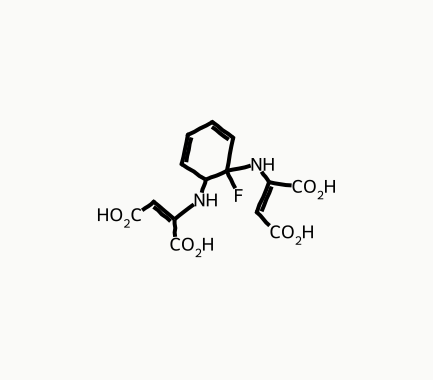 O=C(O)C=C(NC1C=CC=CC1(F)NC(=CC(=O)O)C(=O)O)C(=O)O